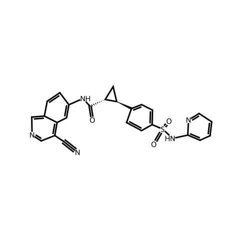 N#Cc1cncc2ccc(NC(=O)[C@@H]3C[C@H]3c3ccc(S(=O)(=O)Nc4ccccn4)cc3)cc12